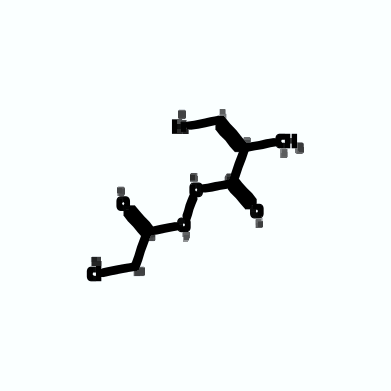 CCC=C(C)C(=O)OOC(=O)CCl